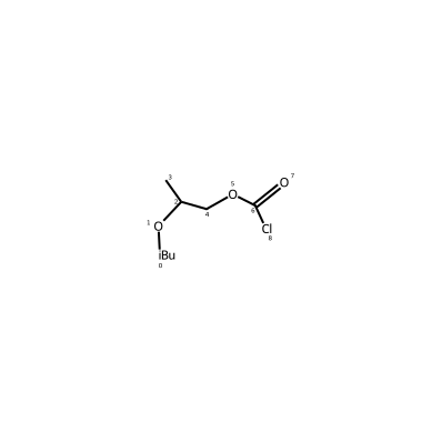 CCC(C)OC(C)COC(=O)Cl